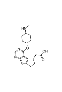 CN[C@H]1CC[C@H](Oc2ncnc3sc4c(c23)[C@@H](CC(=O)O)CC4)CC1